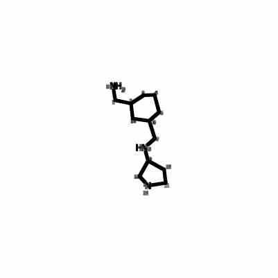 NCC1CCCC(CNC2CC[N]C2)C1